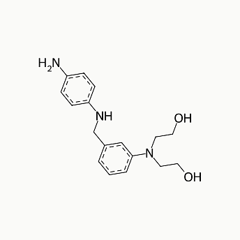 Nc1ccc(NCc2cccc(N(CCO)CCO)c2)cc1